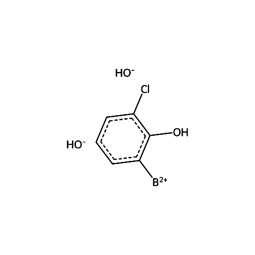 [B+2]c1cccc(Cl)c1O.[OH-].[OH-]